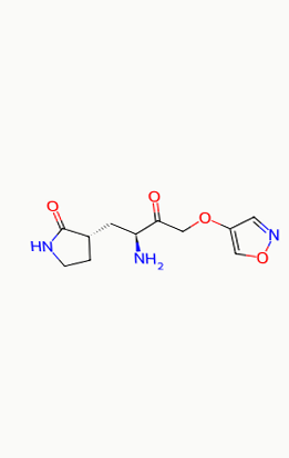 N[C@@H](C[C@@H]1CCNC1=O)C(=O)COc1cnoc1